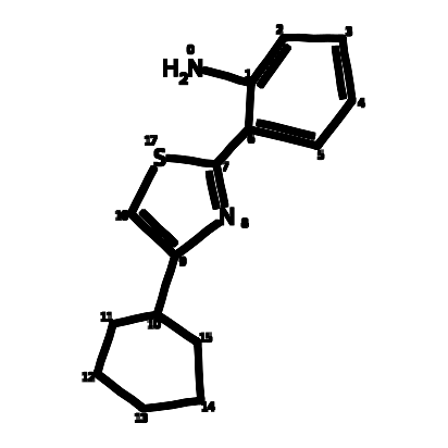 Nc1ccccc1-c1nc(C2CCCCC2)cs1